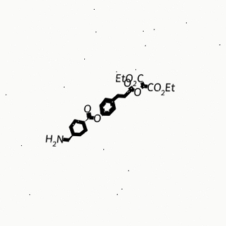 CCOC(=O)C(OC(=O)CCc1ccc(OC(=O)[C@H]2CC[C@H](CN)CC2)cc1)C(=O)OCC